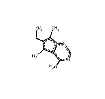 CCc1c(C)c2c(N)ncnn2c1C